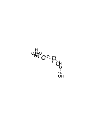 Cc1nc(OCCC(C)(C)O)ccc1-c1cccc(COc2ccc(Cn3oc(=O)[nH]c3=O)cc2)c1C